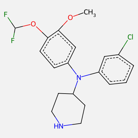 COc1cc(N(c2cccc(Cl)c2)C2CCNCC2)ccc1OC(F)F